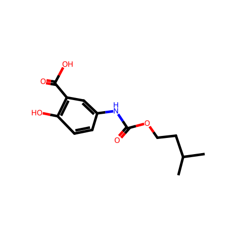 CC(C)CCOC(=O)Nc1ccc(O)c(C(=O)O)c1